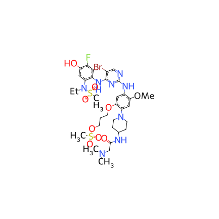 CCN(c1cc(O)c(F)cc1Nc1nc(Nc2cc(OCCCOS(C)(=O)=O)c(N3CCC(NC(=O)CN(C)C)CC3)cc2OC)ncc1Br)S(C)(=O)=O